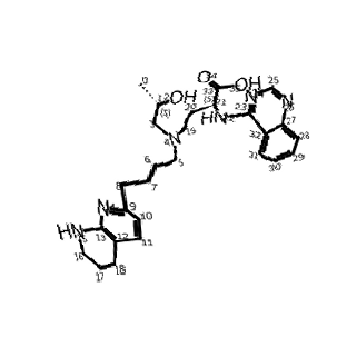 C[C@H](O)CN(CCCCc1ccc2c(n1)NCCC2)CC[C@H](Nc1ncnc2ccccc12)C(=O)O